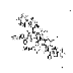 COCCCN1C(=O)C(C)(C)Oc2ccc(N(C(=O)C3C[C@H](C(=O)NC4(c5ccccc5)CC4)CN(C(=O)OC(C)(C)C)C3)C3CC3)cc21